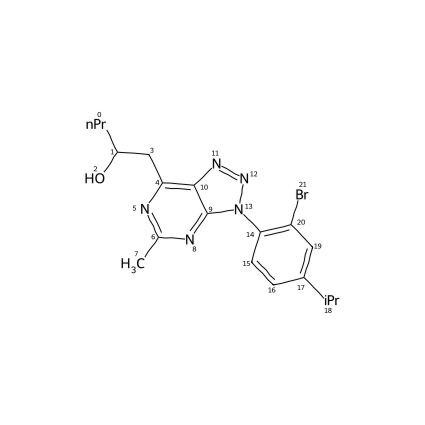 CCCC(O)Cc1nc(C)nc2c1nnn2-c1ccc(C(C)C)cc1Br